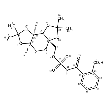 CC1(C)O[C@@H]2CO[C@@]3(COS(=O)(=O)NC(=O)c4ccccc4C(=O)O)OC(C)(C)OC3[C@@H]2O1